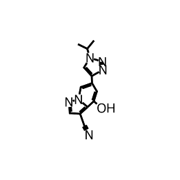 CC(C)n1cc(-c2cc(O)c3c(C#N)cnn3c2)nn1